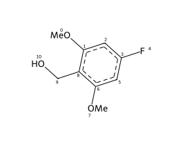 COc1cc(F)cc(OC)c1CO